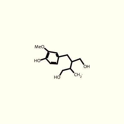 [CH2]C(CO)C(CO)Cc1ccc(O)c(OC)c1